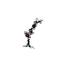 C#COP(=O)(OCC)OCCCCOC(=O)c1ccc(C(F)(F)F)cc1Nc1nc(=O)c2nc(CNc3ccc(C(=O)N[C@@H](CCC(=O)O)C(C)=O)cc3)cnc2[nH]1